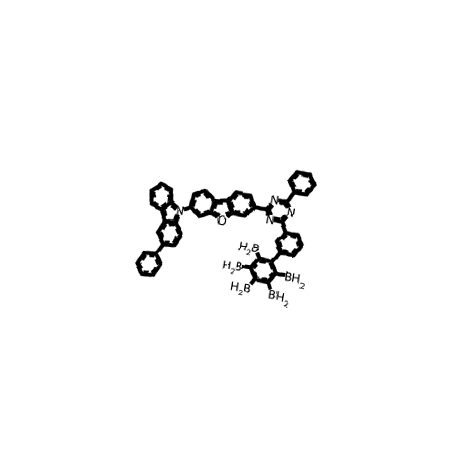 Bc1c(B)c(B)c(-c2cccc(-c3nc(-c4ccccc4)nc(-c4ccc5c(c4)oc4cc(-n6c7ccccc7c7cc(-c8ccccc8)ccc76)ccc45)n3)c2)c(B)c1B